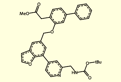 COC(=O)Cc1ccc(-c2ccccc2)cc1OCc1cc(-c2ccnc(CNC(=O)OC(C)(C)C)c2)c2occc2c1